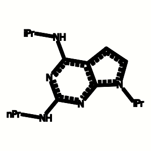 CCCNc1nc(NC(C)C)c2ccn(C(C)C)c2n1